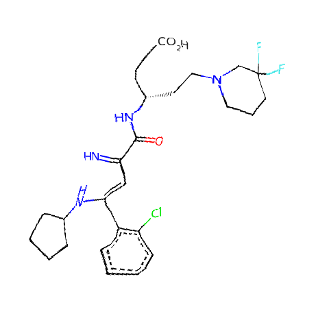 N=C(/C=C(\NC1CCCC1)c1ccccc1Cl)C(=O)N[C@@H](CCN1CCCC(F)(F)C1)CC(=O)O